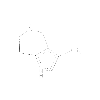 Cc1c[nH]c2c1CNCC2